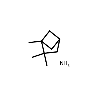 CC1(C)CC2CC1(C)C2.N